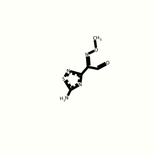 CON=C(C=O)c1nsc(N)n1